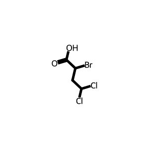 O=C(O)C(Br)CC(Cl)Cl